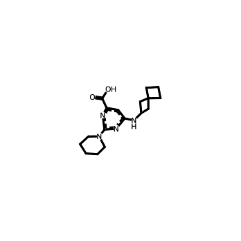 O=C(O)c1cc(NC2CC3(CCC3)C2)nc(N2CCCCC2)n1